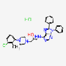 Cc1c(Cl)cccc1N1CCN(CC(O)CNc2ncnc3c2nc(-c2ccccc2)n3-c2ccccc2)CC1.Cl